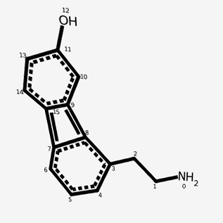 NCCc1cccc2c1=c1cc(O)ccc1=2